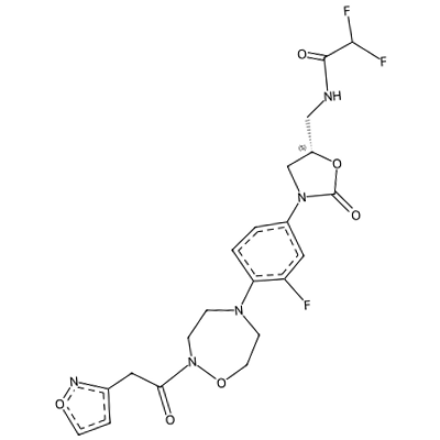 O=C(NC[C@H]1CN(c2ccc(N3CCON(C(=O)Cc4ccon4)CC3)c(F)c2)C(=O)O1)C(F)F